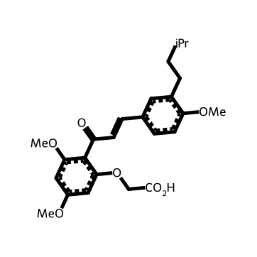 COc1cc(OC)c(C(=O)/C=C/c2ccc(OC)c(CCC(C)C)c2)c(OCC(=O)O)c1